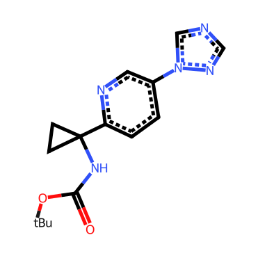 CC(C)(C)OC(=O)NC1(c2ccc(-n3cncn3)cn2)CC1